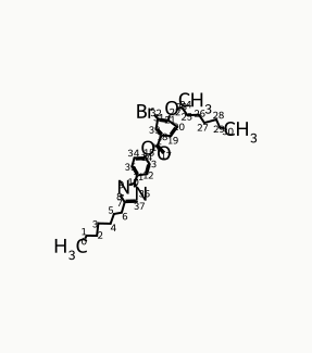 CCCCCCCc1cnc(-c2ccc(OC(=O)c3ccc(OC(C)CCCCCC)c(Br)c3)cc2)nc1